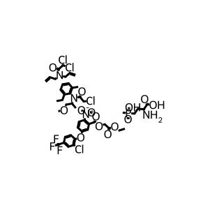 C=CCN(CC=C)C(=O)C(Cl)Cl.CCOC(=O)COC(=O)c1cc(Oc2ccc(C(F)(F)F)cc2Cl)ccc1[N+](=O)[O-].CCc1cccc(C)c1N(C(=O)CCl)C(C)COC.CP(=O)(O)CCC(N)C(=O)O